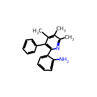 Cc1nc(-c2ccccc2N)c(-c2ccccc2)c(C)c1C